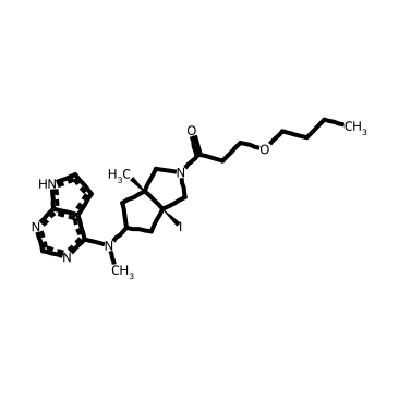 CCCCOCCC(=O)N1C[C@@]2(C)CC(N(C)c3ncnc4[nH]ccc34)C[C@@]2(I)C1